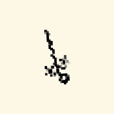 CCCCCCCCCC(O[Si](C)(C)C)C(O[Si](C)(C)C)C1CC=CC1